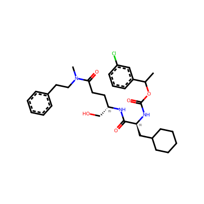 CC(OC(=O)N[C@@H](CC1CCCCC1)C(=O)N[C@H](CO)CCC(=O)N(C)CCc1ccccc1)c1cccc(Cl)c1